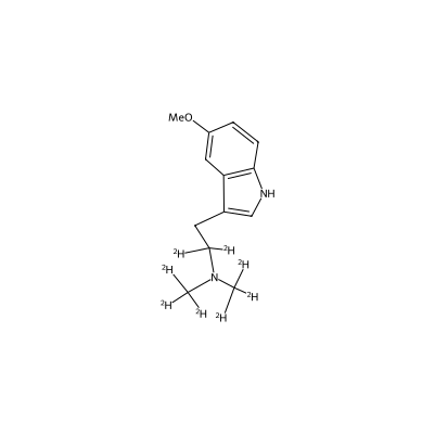 [2H]C([2H])([2H])N(C([2H])([2H])[2H])C([2H])([2H])Cc1c[nH]c2ccc(OC)cc12